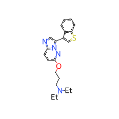 CCN(CC)CCCOc1ccc2ncc(-c3csc4ccccc34)n2n1